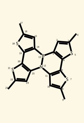 Cc1cc2c(s1)-c1sc(C)cc1N1B2c2cc(C)sc2-c2sc(C)cc21